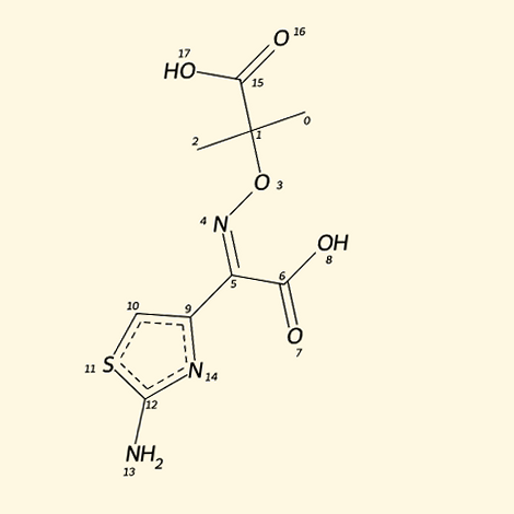 CC(C)(ON=C(C(=O)O)c1csc(N)n1)C(=O)O